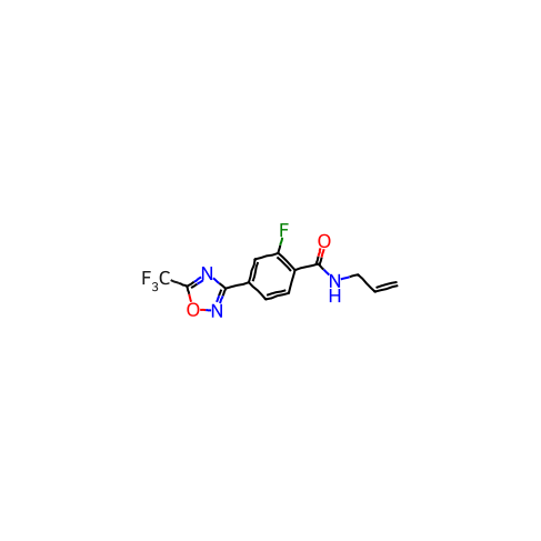 C=CCNC(=O)c1ccc(-c2noc(C(F)(F)F)n2)cc1F